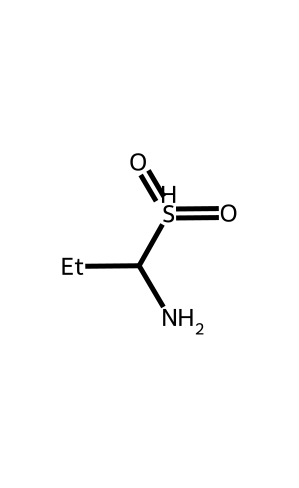 [CH2]CC(N)[SH](=O)=O